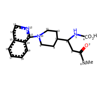 CNC(=O)CC(NC(=O)O)C1CCN(c2nccc3ccccc23)CC1